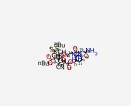 CCCCOC(=O)C(C)(CC(C)(C#N)CCC(=O)OCc1ccccc1)CC(C)(SC(=S)SCCCC)C(=O)OCCNC(=O)NCC(N)=O